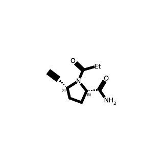 C#C[C@H]1CC[C@@H](C(N)=O)N1C(=O)CC